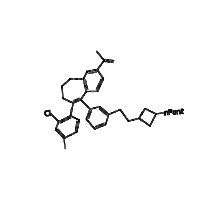 C=C(C)c1ccc2c(c1)CCCC(c1ccc(C)cc1Cl)=C2c1cccc(CCC2CC(CCCCC)C2)c1